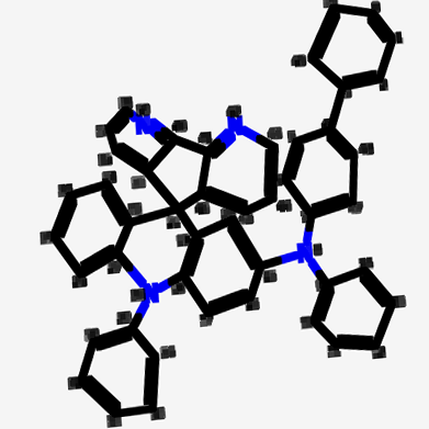 c1ccc(-c2ccc(N(c3ccccc3)c3ccc4c(c3)C3(c5ccccc5N4c4ccccc4)c4cccnc4-c4ncccc43)cc2)cc1